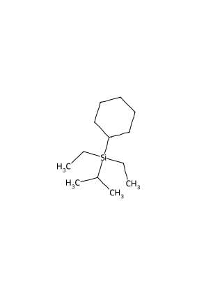 CC[Si](CC)([C]1CCCCC1)C(C)C